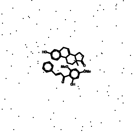 CC12CCC3C(=CCc4cc(O)ccc43)C1CCC2=O.COc1cc(O)c(C(=O)C=Cc2ccccc2)c(OC)c1